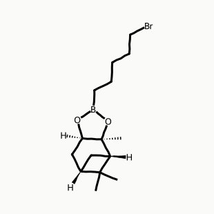 CC1(C)[C@@H]2C[C@H]3OB(CCCCCBr)O[C@@]3(C)[C@H]1C2